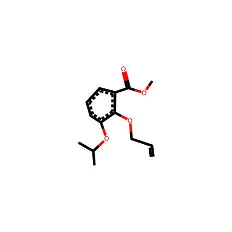 C=CCOc1c(OC(C)C)cccc1C(=O)OC